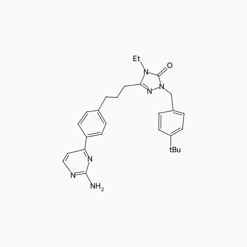 CCn1c(CCCc2ccc(-c3ccnc(N)n3)cc2)nn(Cc2ccc(C(C)(C)C)cc2)c1=O